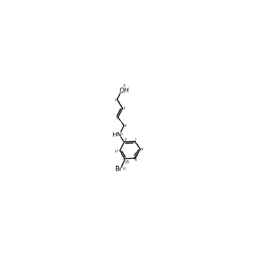 OC/C=C/CNc1cccc(Br)c1